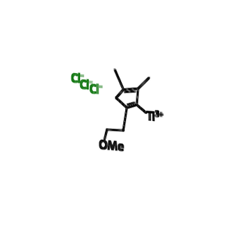 COCCC1=[C]([Ti+3])C(C)=C(C)C1.[Cl-].[Cl-].[Cl-]